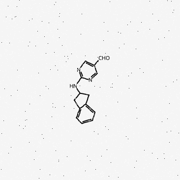 O=Cc1cnc(NC2Cc3ccccc3C2)nc1